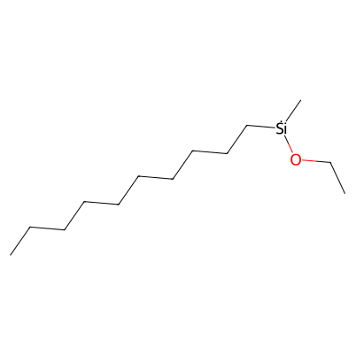 CCCCCCCCCC[Si](C)OCC